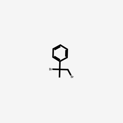 CC(Br)(CBr)c1ccccc1